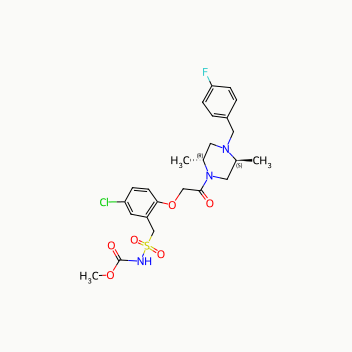 COC(=O)NS(=O)(=O)Cc1cc(Cl)ccc1OCC(=O)N1C[C@H](C)N(Cc2ccc(F)cc2)C[C@H]1C